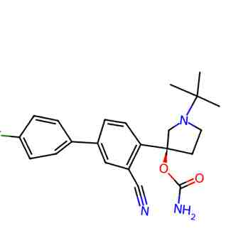 CC(C)(C)N1CC[C@](OC(N)=O)(c2ccc(-c3ccc(F)cc3)cc2C#N)C1